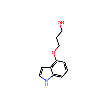 OCCCOc1cccc2[nH]ccc12